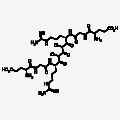 N=C(N)NCCC[C@H](NC(=O)CNC(=O)[C@H](N)CCC(=O)O)C(=O)C(Cl)C(=O)C(Cl)C(=O)[C@H](CCCNC(=N)N)NC(=O)CNC(=O)[C@H](N)CCC(=O)O